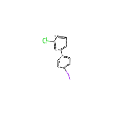 Clc1[c]ccc(-c2ccc(I)cc2)c1